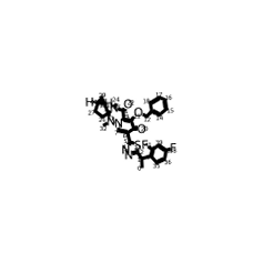 CC(c1nnc(-c2cn3c(c(OCc4ccccc4)c2=O)C(=O)N(C)C2(CC[C@@H]4C[C@@H]42)N3C)s1)c1ccc(F)cc1F